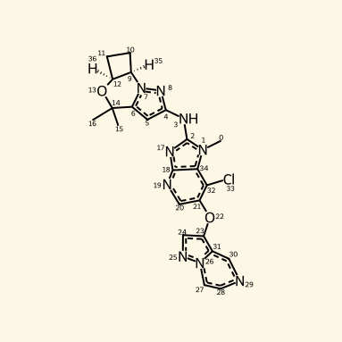 Cn1c(Nc2cc3n(n2)[C@@H]2CC[C@@H]2OC3(C)C)nc2ncc(Oc3cnn4ccncc34)c(Cl)c21